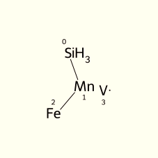 [SiH3][Mn][Fe].[V]